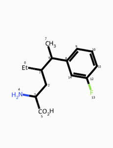 CCC(CC(N)C(=O)O)C(C)c1cccc(F)c1